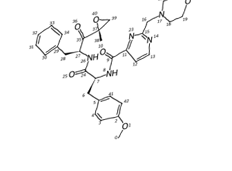 COc1ccc(C[C@H](NC(=O)c2ccnc(CN3CCOCC3)n2)C(=O)N[C@@H](Cc2ccccc2)C(=O)[C@@]2(C)CO2)cc1